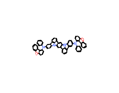 c1ccc(N(c2ccc3c(c2)c2cccc4c5cc6c(cc5n3c24)c2cccc3c4cc(N(c5ccccc5)c5cccc7oc8ccccc8c57)ccc4n6c32)c2cccc3oc4ccccc4c23)cc1